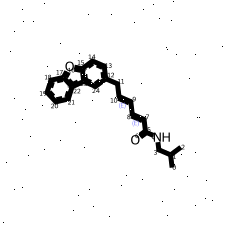 CC(C)CNC(=O)/C=C/C=C/Cc1ccc2oc3ccccc3c2c1